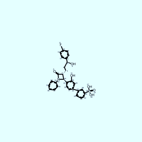 O=C1[C@H](CC[C@H](O)c2ccc(F)cc2)[C@@H](c2ccc(-c3cccc(P(=O)(O)O)c3)cc2O)N1c1ccccc1